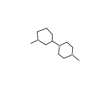 CN1CCN(C2CCCN(C)C2)CC1